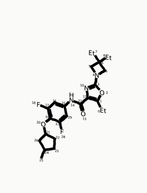 CCc1oc(N2CC(CC)(CC)C2)nc1C(=O)Nc1cc(F)c(OC2CCC(C)C2)c(F)c1